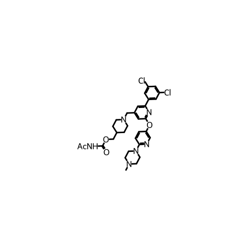 CC(=O)NC(=O)OCC1CCN(Cc2cc(Oc3ccc(N4CCN(C)CC4)nc3)nc(-c3cc(Cl)cc(Cl)c3)c2)CC1